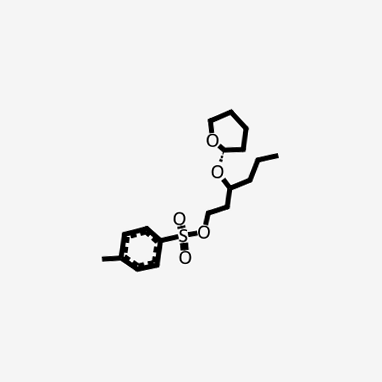 CCCC(CCOS(=O)(=O)c1ccc(C)cc1)O[C@H]1CCCCO1